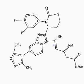 CNC(=O)CC(=N)/C=C(\S)n1c(C2CCCC(=O)N2c2ccc(F)c(F)c2)nc2cc(-c3c(C)noc3C)ccc21